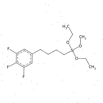 CCO[Si](CCCCc1cc(F)c(F)c(F)c1)(OC)OCC